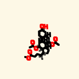 COC(=O)CC[C@@H](C)[C@H]1CC[C@H]2[C@@H]3[C@H](OC(C)=O)C[C@@H]4C[C@H](O)C=C[C@]4(C)[C@H]3C[C@H](OC(C)=O)[C@]12C